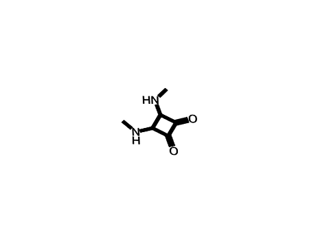 CNC1C(=O)C(=O)C1NC